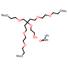 CCC[SiH]=O.COCCOCCOCCC(CCOCCOCCOC)(COCCOC)OCCO